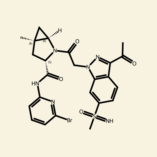 CC(=O)c1nn(CC(=O)N2[C@H](C(=O)Nc3cccc(Br)n3)C[C@@]3(C)C[C@@H]23)c2cc(S(C)(=N)=O)ccc12